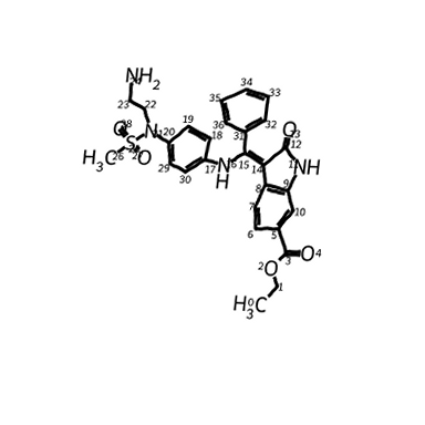 CCOC(=O)c1ccc2c(c1)NC(=O)C2=C(Nc1ccc(N(CCN)S(C)(=O)=O)cc1)c1ccccc1